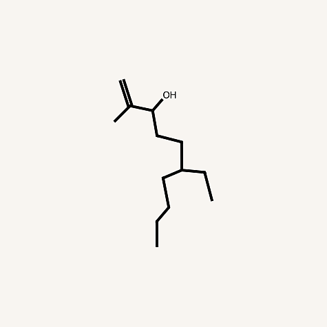 C=C(C)C(O)CCC(CC)CCCC